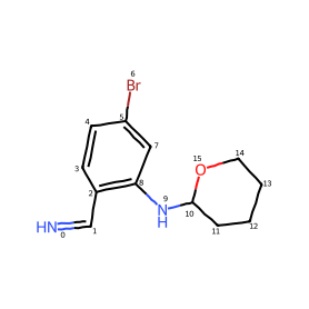 N=Cc1ccc(Br)cc1NC1CCCCO1